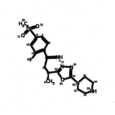 C[C@@H](CC(=N)c1ccc(S(C)(=O)=O)cc1F)c1nnc(N2CCNCC2)o1